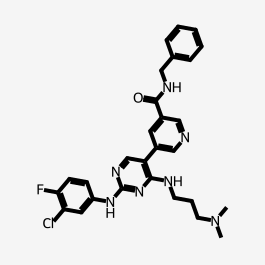 CN(C)CCCNc1nc(Nc2ccc(F)c(Cl)c2)ncc1-c1cncc(C(=O)NCc2ccccc2)c1